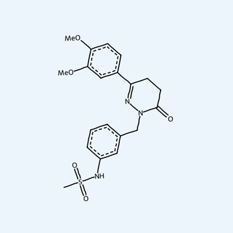 COc1ccc(C2=NN(Cc3cccc(NS(C)(=O)=O)c3)C(=O)CC2)cc1OC